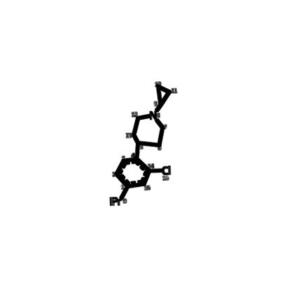 CC(C)c1ccc(C2CCN(C3CC3)CC2)c(Cl)c1